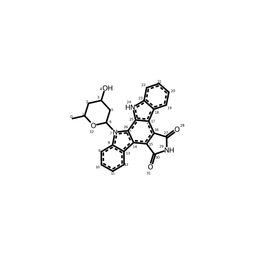 CC1CC(O)CC(n2c3ccccc3c3c4c(c5c6ccccc6[nH]c5c32)C(=O)NC4=O)O1